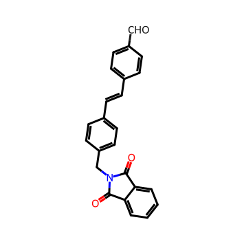 O=Cc1ccc(C=Cc2ccc(CN3C(=O)c4ccccc4C3=O)cc2)cc1